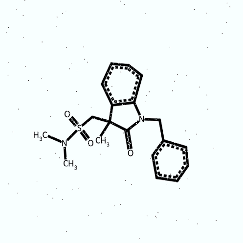 CN(C)S(=O)(=O)CC1(C)C(=O)N(Cc2ccccc2)c2ccccc21